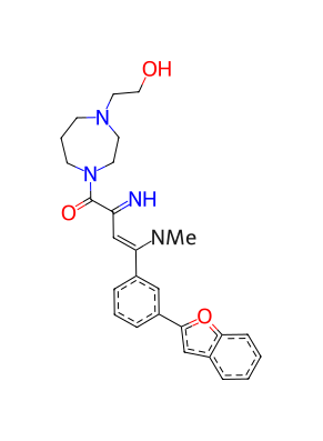 CN/C(=C\C(=N)C(=O)N1CCCN(CCO)CC1)c1cccc(-c2cc3ccccc3o2)c1